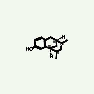 C[C@@H]1CN(C)[C@@H]2Cc3ccc(O)cc3[C@H]1C2